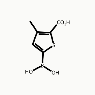 Cc1cc(B(O)O)sc1C(=O)O